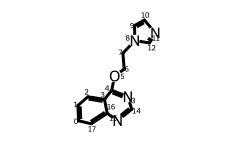 c1ccc2c(OCCn3ccnc3)ncnc2c1